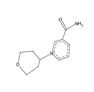 NC(=O)c1ccc[n+](C2CCOCC2)c1